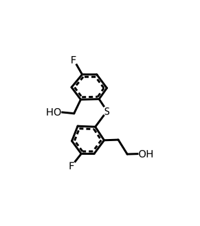 OCCc1cc(F)ccc1Sc1ccc(F)cc1CO